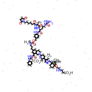 CCCC1(C)CC2(Cn3ncc(-c4ccc(N5CCc6cc(CCCN(C)C(=O)OCc7ccc(NC(=O)[C@H](CCCNC(N)=O)NC(=O)[C@@H](NC(=O)CCCCCN8C(=O)C=CC8=O)C(C)C)cc7)cc(C(=O)Nc7nc8ccccc8s7)c6C5)nc4C(=O)O)c3C)CCCC(OCCNCCS(=O)(=O)O)(C1)C2